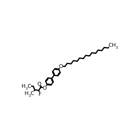 CCCCCCCCCCCCCCCCOc1ccc(-c2ccc(OC(=O)C(F)C(C)CC)cc2)cc1